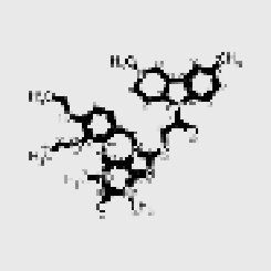 CCOc1ccc(Cn2c(SCC(=O)N3c4ccc(C)cc4C4CN(C)CCC43)nc3c2c(=O)n(C)c(=O)n3C)cc1OCC